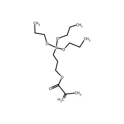 C=C(C)C(=O)OCCC[Si](OCCC)(OCCC)OCCC